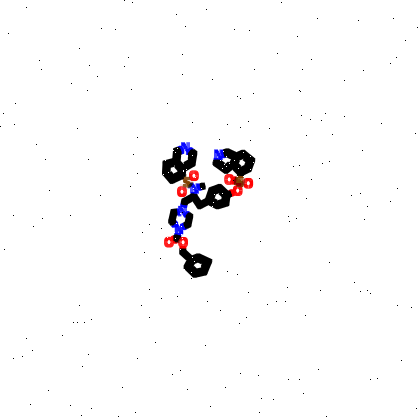 CN(C(Cc1ccc(OS(=O)(=O)c2cccc3cnccc23)cc1)CN1CCN(C(=O)OCc2ccccc2)CC1)S(=O)(=O)c1cccc2cnccc12